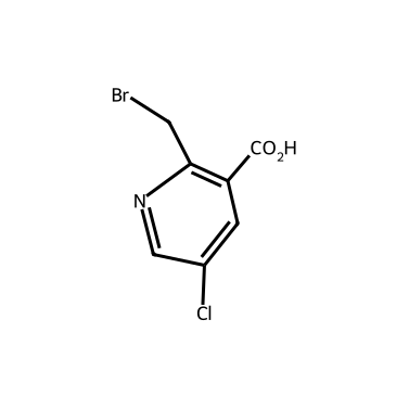 O=C(O)c1cc(Cl)cnc1CBr